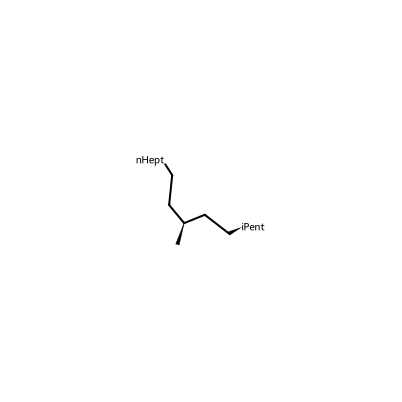 CCCCCCCCC[C@H](C)CC[C@H](C)CCC